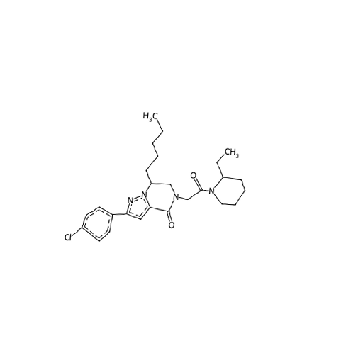 CCCCCC1CN(CC(=O)N2CCCCC2CC)C(=O)c2cc(-c3ccc(Cl)cc3)nn21